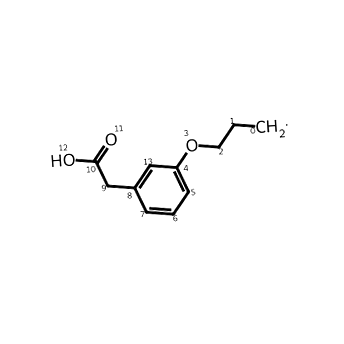 [CH2]CCOc1cccc(CC(=O)O)c1